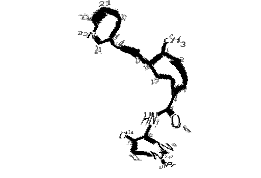 Cc1ccc(C(=O)Nc2nn(C(C)C)cc2Cl)cc1C#Cc1cccnc1